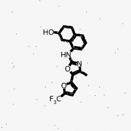 Cc1nc(Nc2cccc3c2CC(O)CC3)oc1-c1ccc(C(F)(F)F)o1